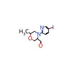 CC1CN(c2ccc(I)cn2)C(C=O)CO1